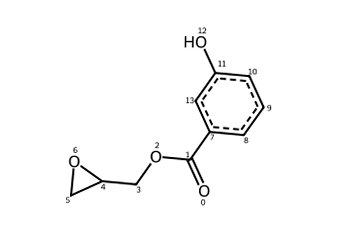 O=C(OCC1CO1)c1cccc(O)c1